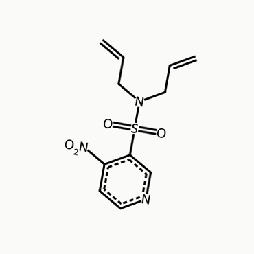 C=CCN(CC=C)S(=O)(=O)c1cnccc1[N+](=O)[O-]